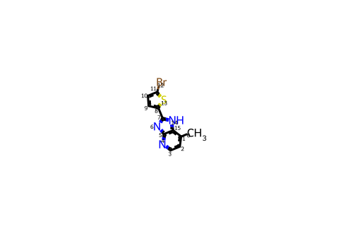 Cc1ccnc2nc(-c3ccc(Br)s3)[nH]c12